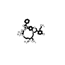 CCCc1cc(Cl)ccc1C1COc2ccc3cc2N(CCC(CC)C(OC)/C=C/COC(C)(C)C(=O)N=S3(=O)NC(=O)c2ccccc2)C1